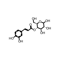 O=C(C=Cc1ccc(O)c(O)c1)O[C@H]1[C@H](O)[C@@H](O)C(O)O[C@@H]1CO